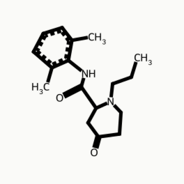 CCCN1CCC(=O)CC1C(=O)Nc1c(C)cccc1C